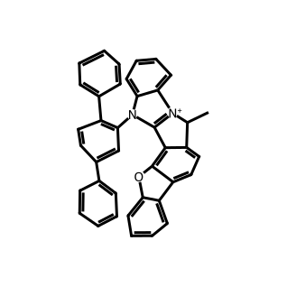 CC1c2ccc3c(oc4ccccc43)c2-c2n(-c3cc(-c4ccccc4)ccc3-c3ccccc3)c3ccccc3[n+]21